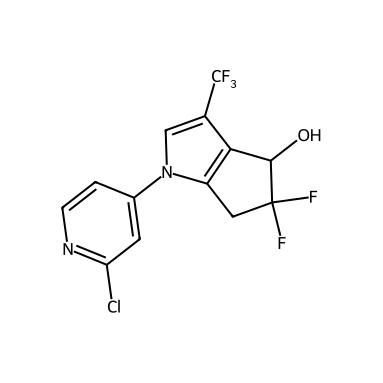 OC1c2c(C(F)(F)F)cn(-c3ccnc(Cl)c3)c2CC1(F)F